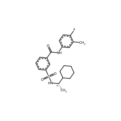 Cc1cc(NC(=O)c2cccc(S(=O)(=O)N[C@@H](C)C3CCCCC3)c2)ccc1F